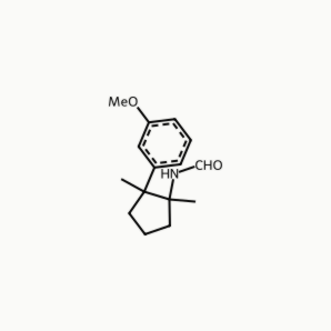 COc1cccc(C2(C)CCCC2(C)NC=O)c1